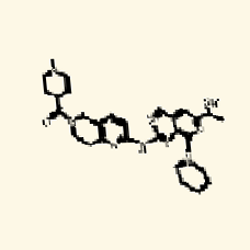 CC(O)c1cc2cnc(Nc3ccc4c(n3)CCN(C(=O)C3CCN(C)CC3)C4)nc2c(N2CCCCC2)n1